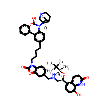 CC(C)(C)[Si](C)(C)O[C@H](CNCc1ccc2c(c1)oc(=O)n2CCCCc1ccc(N(C(=O)O)[C@H]2CN3CCC2CC3)c(-c2ccccc2)c1)c1ccc(O)c2[nH]c(=O)ccc12